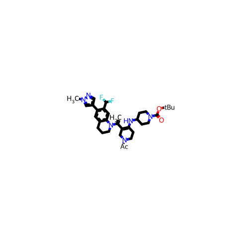 C=C(C1=C(NC2CCN(C(=O)OC(C)(C)C)CC2)CCN(C(C)=O)C1)N1CCCc2cc(-c3cnn(C)c3)c(C(F)F)cc21